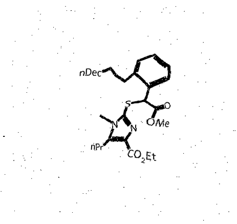 CCCCCCCCCCCCc1ccccc1C(Sc1nc(C(=O)OCC)c(CCC)n1C)C(=O)OC